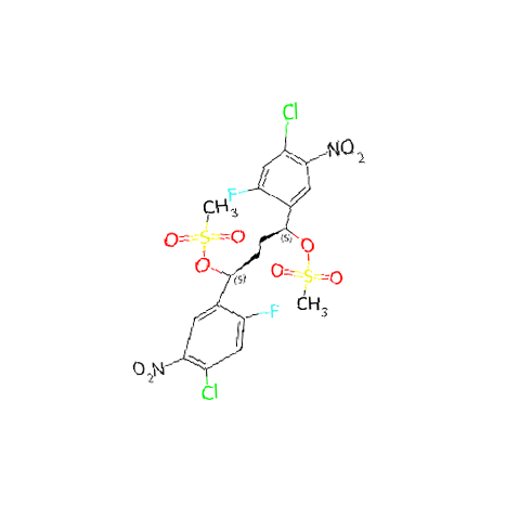 CS(=O)(=O)O[C@@H](CC[C@H](OS(C)(=O)=O)c1cc([N+](=O)[O-])c(Cl)cc1F)c1cc([N+](=O)[O-])c(Cl)cc1F